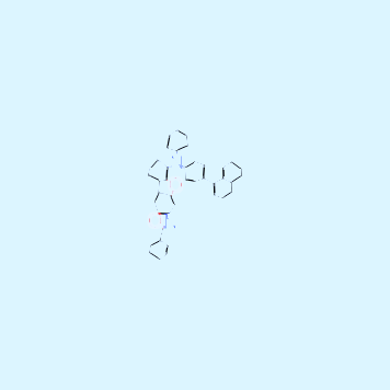 c1ccc(-c2nc3cc4oc5c(N(c6ccccc6)c6ccc(-c7cccc8ccccc78)cc6)cccc5c4cc3o2)cc1